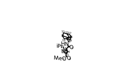 COC(=O)c1cc(C(=O)NCC23CC4CC(CC(C4)C2)C3)n(C(C)C)n1